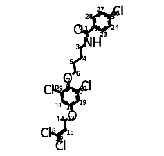 O=C(NCCCCOc1c(Cl)cc(OCC=C(Cl)Cl)cc1Cl)c1ccc(Cl)cc1